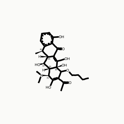 CCCCOC1C(C(C)=O)=C(O)[C@@H](N(C)C)[C@@H]2[C@@H](O)[C@H]3C(=C(O)[C@]12O)C(=O)c1c(O)cccc1[C@@H]3C